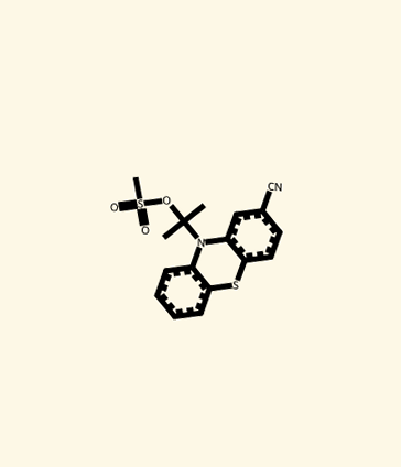 CC(C)(OS(C)(=O)=O)N1c2ccccc2Sc2ccc(C#N)cc21